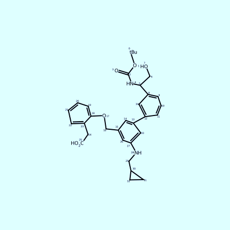 CC(C)(C)OC(=O)NC(CO)c1cccc(-c2cc(COc3ccccc3CC(=O)O)cc(NCC3CC3)c2)c1